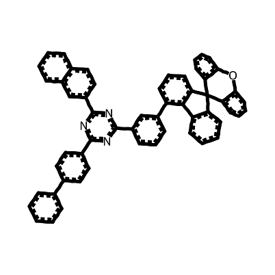 c1ccc(-c2ccc(-c3nc(-c4cccc(-c5cccc6c5-c5ccccc5C65c6ccccc6Oc6ccccc65)c4)nc(-c4ccc5ccccc5c4)n3)cc2)cc1